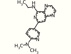 CCNc1nc(-c2ccc(N(C)C)nc2)cc2nccnc12